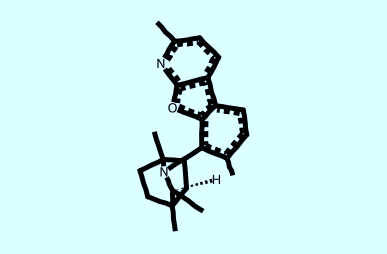 Cc1ccc2c(n1)oc1c(N3[C@@H](C)C4(C)CCC3(C)CC4)c(C)ccc12